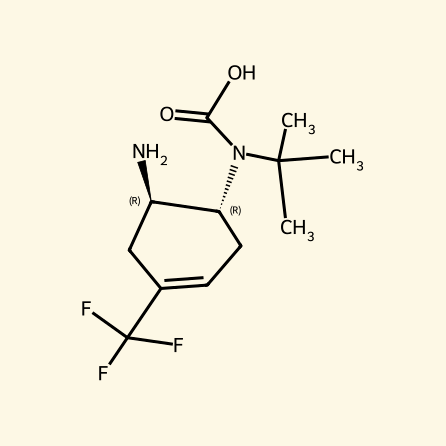 CC(C)(C)N(C(=O)O)[C@@H]1CC=C(C(F)(F)F)C[C@H]1N